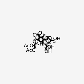 CC(=O)OCC(OC(C)=O)C(=O)Nc1c(I)c(C(=O)Cl)c(I)c(C(=O)N(CC(O)CO)CC(O)CO)c1I